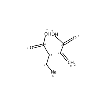 C=CC(=O)O.O=C(O)C[CH2][Na]